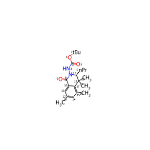 CCC[C@@H]1N(NC(=O)OC(C)(C)C)C(=O)c2cc(C)cc(C)c2C1(C)C